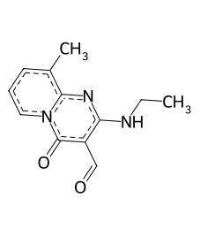 CCNc1nc2c(C)cccn2c(=O)c1C=O